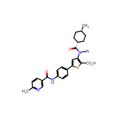 Cc1ccc(C(=O)Nc2ccc(-c3cc(N(C(=O)[C@H]4CC[C@H](C)CC4)C(C)C)c(C(=O)O)s3)cc2)cn1